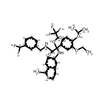 CCOc1cc(C(Nc2ccc3c(N)nccc3c2)(OC(=O)C(F)(F)F)C(=O)NCc2cccc(C(F)F)c2)ccc1OC(C)C